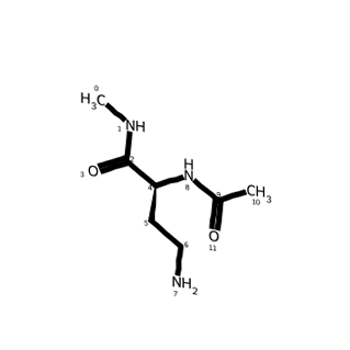 CNC(=O)[C@H](CCN)NC(C)=O